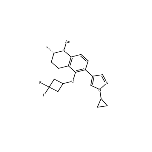 CC(=O)N1c2ccc(-c3cnn(C4CC4)c3)c(OC3CC(F)(F)C3)c2CC[C@@H]1C